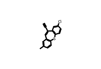 C#CC1=Cc2cc(C)ccc2Sc2ccc(Cl)cc21